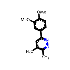 COc1ccc(-c2cc(C)c(C)nn2)cc1OC